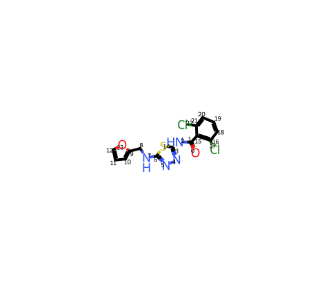 O=C(Nc1nnc(NCc2ccco2)s1)c1c(Cl)cccc1Cl